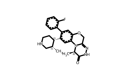 C[C@@H]1CNCC[C@@H]1c1cc2c(cc1-c1ccccc1F)OCC1=NNC(=O)[C@@H](C)N12